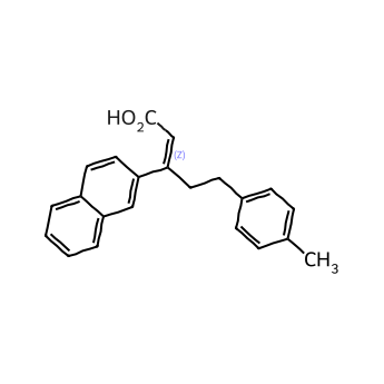 Cc1ccc(CC/C(=C/C(=O)O)c2ccc3ccccc3c2)cc1